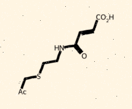 CC(=O)CSCCNC(=O)/C=C/C(=O)O